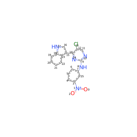 O=[N+]([O-])c1cccc(Nc2ncc(Cl)c(-c3c[nH]c4ccccc34)n2)c1